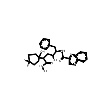 O=C(NC(Cc1ccccc1)C(O)CC(C(=O)NO)C1(O)CCC(F)(F)CC1)c1cnc2ccccc2n1